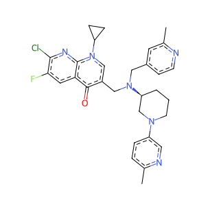 Cc1ccc(N2CCC[C@H](N(Cc3ccnc(C)c3)Cc3cn(C4CC4)c4nc(Cl)c(F)cc4c3=O)C2)cn1